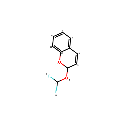 FC(F)OC1C=[C]c2ccccc2O1